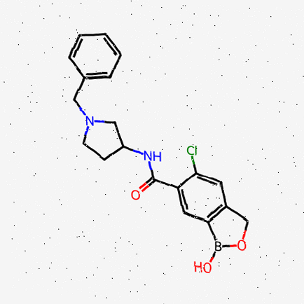 O=C(NC1CCN(Cc2ccccc2)C1)c1cc2c(cc1Cl)COB2O